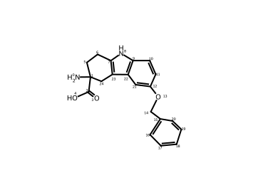 NC1(C(=O)O)CCc2[nH]c3ccc(OCc4ccccc4)cc3c2C1